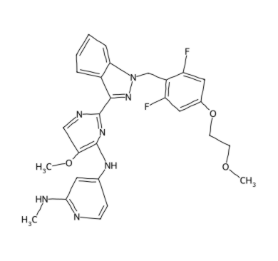 CNc1cc(Nc2nc(-c3nn(Cc4c(F)cc(OCCOC)cc4F)c4ccccc34)ncc2OC)ccn1